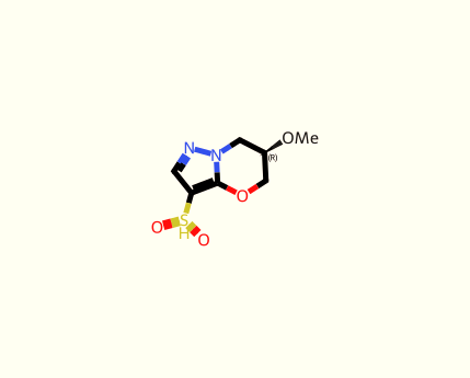 CO[C@H]1COc2c([SH](=O)=O)cnn2C1